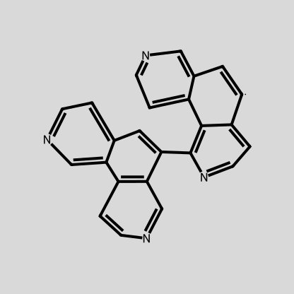 [c]1cc2cnccc2c2c(-c3cc4ccncc4c4ccncc34)nccc12